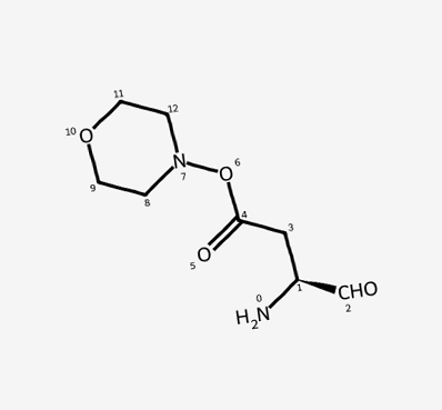 N[C@H](C=O)CC(=O)ON1CCOCC1